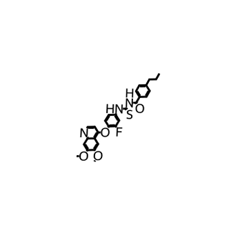 CCCc1ccc(C(=O)NC(=S)Nc2ccc(Oc3ccnc4cc(OC)c(OC)cc34)c(F)c2)cc1